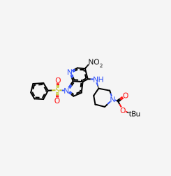 CC(C)(C)OC(=O)N1CCC[C@@H](Nc2c([N+](=O)[O-])cnc3c2ccn3S(=O)(=O)c2ccccc2)C1